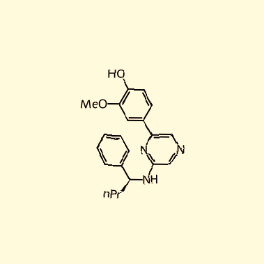 CCC[C@H](Nc1cncc(-c2ccc(O)c(OC)c2)n1)c1ccccc1